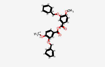 COc1ccc(C(=O)OC(=O)c2ccc(OC)c(OCc3ccccc3)c2)cc1OCc1ccccc1